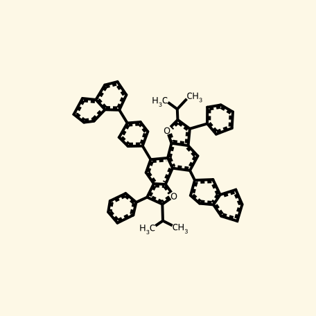 CC(C)c1oc2c(cc(-c3ccc4ccccc4c3)c3c4oc(C(C)C)c(-c5ccccc5)c4cc(-c4ccc(-c5cccc6ccccc56)cc4)c23)c1-c1ccccc1